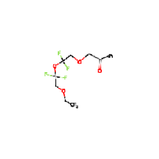 CC(C)C(=O)COCC(F)(F)OC(F)(F)COCC(F)(F)F